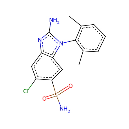 Cc1cccc(C)c1-n1c(N)nc2cc(Cl)c(S(N)(=O)=O)cc21